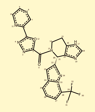 O=C(c1nnc(-c2cnccn2)o1)N1CCc2[nH]cnc2[C@@H]1c1cc2cccc(C(F)(F)F)n2n1